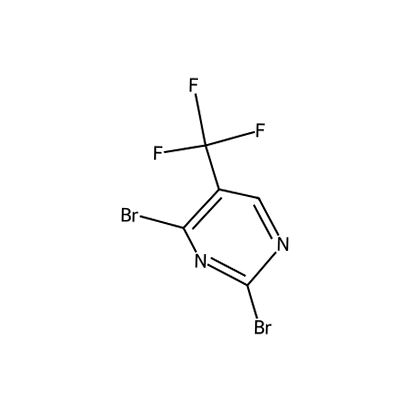 FC(F)(F)c1cnc(Br)nc1Br